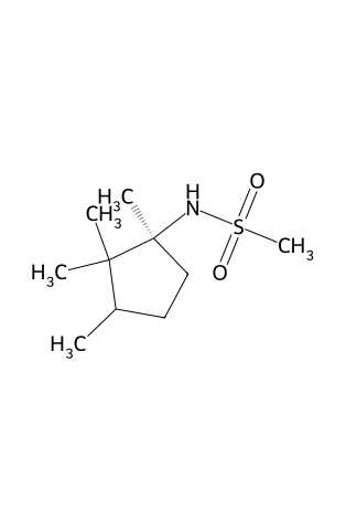 CC1CC[C@](C)(NS(C)(=O)=O)C1(C)C